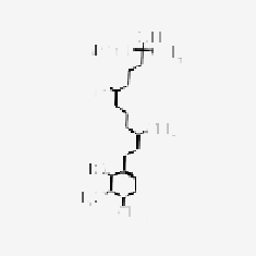 CCCCCC(C)(O)CCCC(C)CCCC(C)CCC1=CCC(C)C(C)C1O